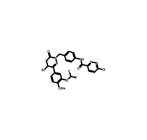 CCC1CC(=O)N(Cc2ccc(NC(=O)c3ccc(Cl)nn3)cc2)N=C1c1ccc(OC)c(OC(F)F)c1